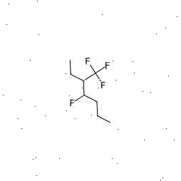 CCCC(F)C(CC)C(F)(F)F